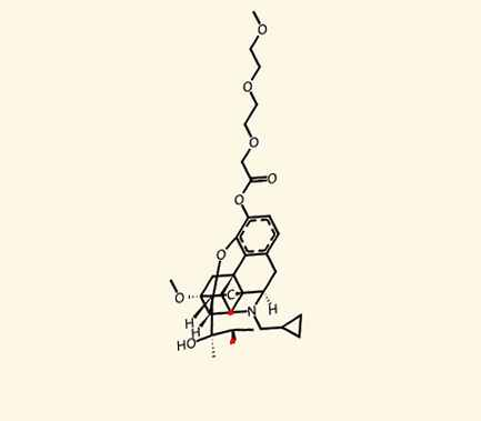 COCCOCCOCC(=O)Oc1ccc2c3c1O[C@@H]1C[C@]45C[C@H]([C@](C)(O)C(C)(C)C)[C@]1(OC)C[C@]34CCN(CC1CC1)[C@@H]5C2